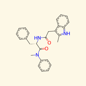 Cc1[nH]c2ccccc2c1CC(=O)N[C@@H](Cc1ccccc1)C(=O)N(C)c1ccccc1